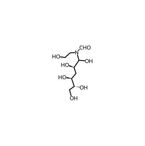 O=CN(CCO)C(O)[C@H](O)C[C@H](O)[C@H](O)CO